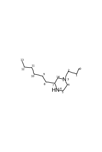 [CH2]CCN1CCNC(CCCCCC)C1